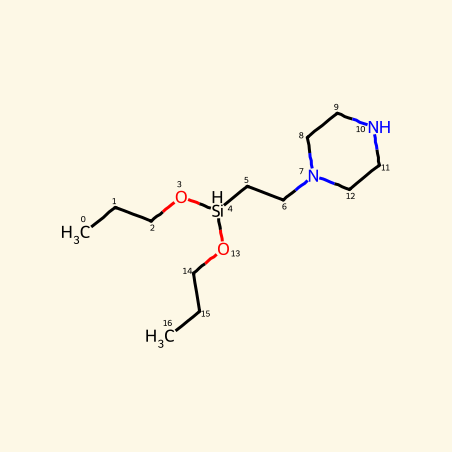 CCCO[SiH](CCN1CCNCC1)OCCC